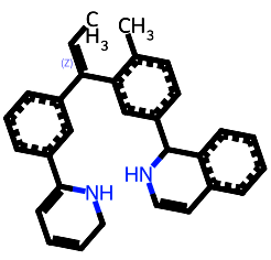 C/C=C(/c1cccc(C2=CC=CCN2)c1)c1cc(C2NC=Cc3ccccc32)ccc1C